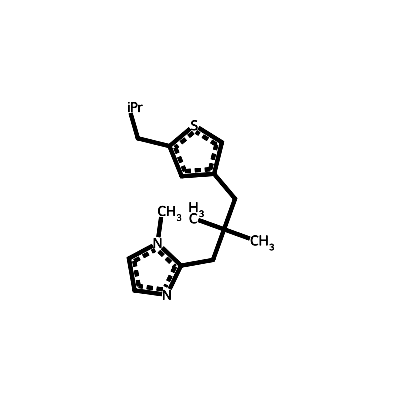 CC(C)Cc1cc(CC(C)(C)Cc2nccn2C)cs1